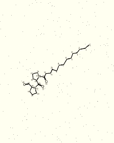 CCCCCCCCCCCCCC(=O)N1CCCC1C(=O)N1CCCC1[C]=O